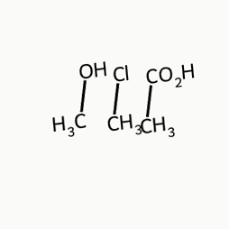 CC(=O)O.CCl.CO